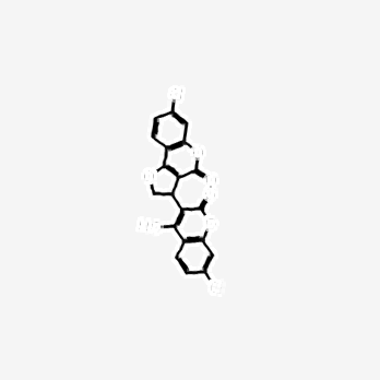 O=c1oc2cc(Cl)ccc2c(O)c1C1COc2c1c(=O)oc1cc(Cl)ccc21